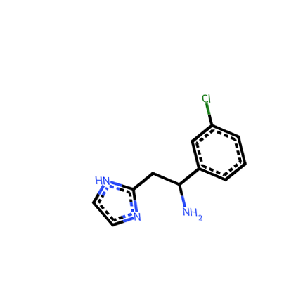 NC(Cc1ncc[nH]1)c1cccc(Cl)c1